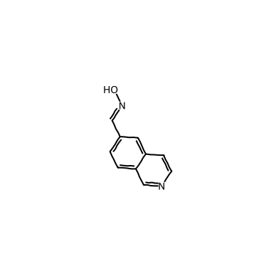 ON=Cc1ccc2cnccc2c1